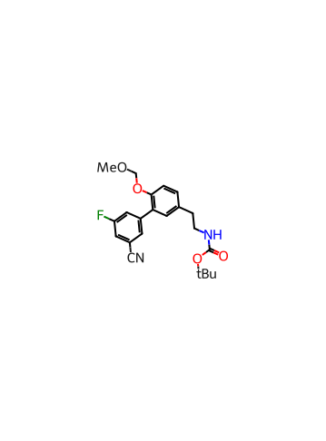 COCOc1ccc(CCNC(=O)OC(C)(C)C)cc1-c1cc(F)cc(C#N)c1